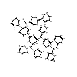 Cc1ccccc1-c1ccc(-c2cc(C(c3ccccc3)c3ccccc3)cc(N(c3ccccc3)c3ccc4c(c3)-c3ccccc3CC4c3ccccc3)c2)cc1C(C)c1ccc(-c2ccccc2)cc1